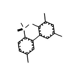 Cc1ccc2c(c1)-c1cc(C)cc(C)c1OP2(=O)O